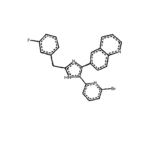 Fc1cccc(Cc2nc(-c3ccc4ncccc4c3)c(-c3cccc(Br)n3)[nH]2)c1